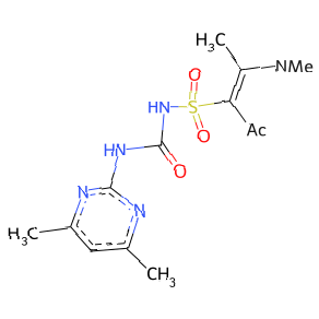 CNC(C)=C(C(C)=O)S(=O)(=O)NC(=O)Nc1nc(C)cc(C)n1